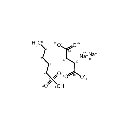 CCCCCS(=O)(=O)O.O=C([O-])CCC(=O)[O-].[Na+].[Na+]